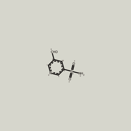 NS(=O)(=O)c1cncc(C=O)c1